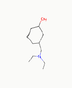 CCN(CC)CC1CCCC(O)C1